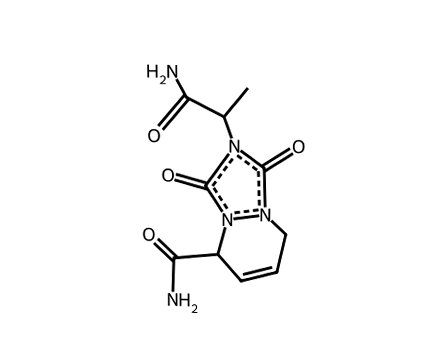 CC(C(N)=O)n1c(=O)n2n(c1=O)C(C(N)=O)C=CC2